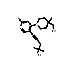 CC(C)(O)CC#Cc1cnc(Cl)cc1N1CCC(C)(CO)CC1